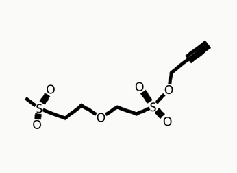 C#CCOS(=O)(=O)CCOCCS(C)(=O)=O